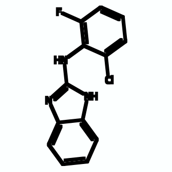 Fc1cccc(Cl)c1Nc1nc2ccccc2[nH]1